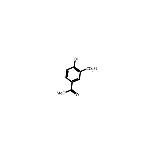 CCOC(=O)c1cc(C(=O)OC)ccc1O